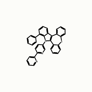 c1ccc(-c2cccc3c4c(n(-c5ccc(-c6ccccn6)nc5)c23)-c2ccccc2Sc2ccccc2-4)cc1